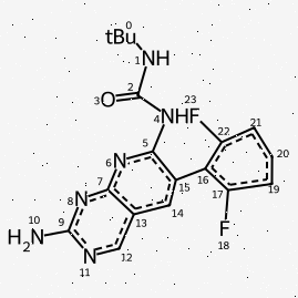 CC(C)(C)NC(=O)Nc1nc2nc(N)ncc2cc1-c1c(F)cccc1F